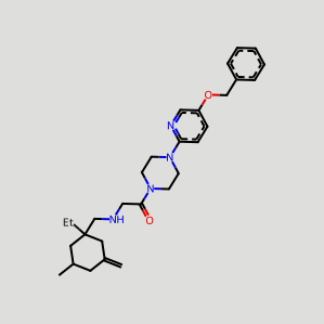 C=C1CC(C)CC(CC)(CNCC(=O)N2CCN(c3ccc(OCc4ccccc4)cn3)CC2)C1